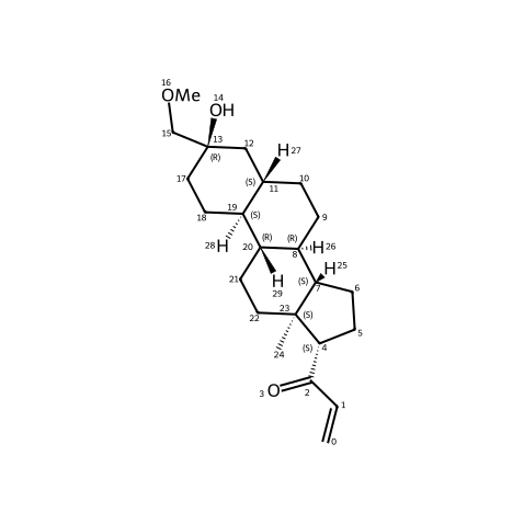 C=CC(=O)[C@H]1CC[C@H]2[C@@H]3CC[C@H]4C[C@@](O)(COC)CC[C@@H]4[C@H]3CC[C@]12C